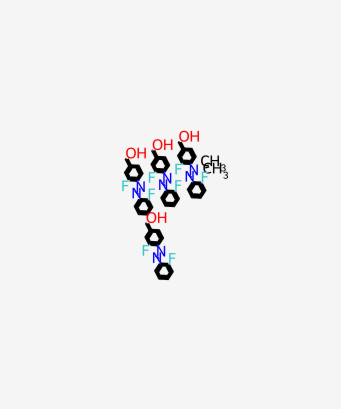 CC.OCc1ccc(N=Nc2ccccc2F)c(F)c1.OCc1ccc(N=Nc2ccccc2F)c(F)c1.OCc1ccc(N=Nc2ccccc2F)c(F)c1.OCc1ccc(N=Nc2ccccc2F)c(F)c1